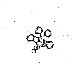 CC1=C2c3ccccc3[CH]1[Zr+2][CH]1C(C)=C(c3ccccc31)[Si]2(c1ccccc1)c1ccccc1.[Cl-].[Cl-]